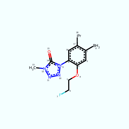 Bc1cc(OCCF)c(-n2nnn(C)c2=O)cc1C(C)C